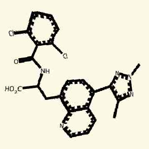 Cc1nn(C)nc1-c1ccc(CC(NC(=O)c2c(Cl)cccc2Cl)C(=O)O)c2ncccc12